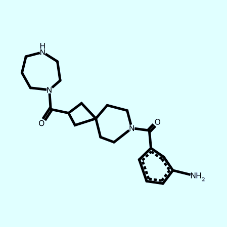 Nc1cccc(C(=O)N2CCC3(CC2)CC(C(=O)N2CCCNCC2)C3)c1